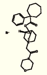 O=C(C[N+]12CCC(CC1)[C@@H](OC(=O)C1(c3ccccc3)CCCCCC1)C2)N1CCOCC1.[Br-]